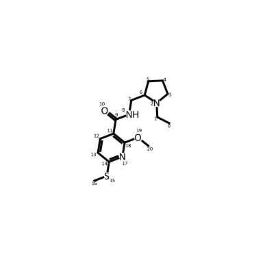 CCN1CCCC1CNC(=O)c1ccc(SC)nc1OC